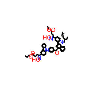 CCCCC(CC)Cn1c2ccc(C(CCC(=O)OCC)=NO)cc2c2cc(C(=O)c3ccc(-n4c5ccccc5c5cc(C(CCC(=O)OCCC)=NO)ccc54)cc3)c3ccccc3c21